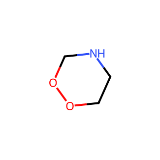 C1COOCN1